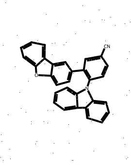 N#Cc1ccc(-n2c3ccccc3c3ccccc32)c(-c2ccc3oc4ccccc4c3c2)c1